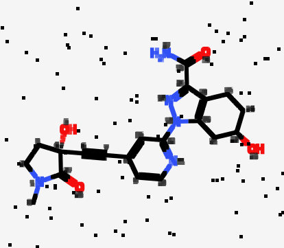 CN1CC[C@@](O)(C#Cc2ccnc(-n3nc(C(N)=O)c4c3C[C@H](O)CC4)c2)C1=O